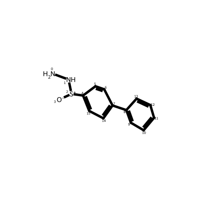 NN[S+]([O-])c1ccc(-c2ccccc2)cc1